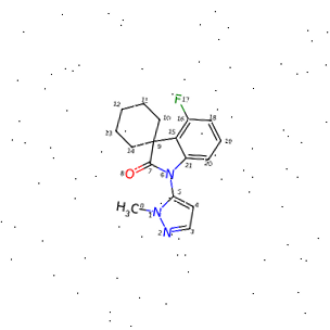 Cn1nccc1N1C(=O)C2(CCCCC2)c2c(F)cccc21